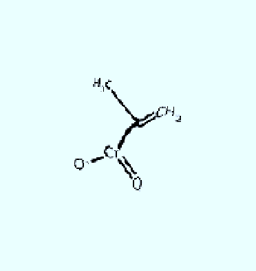 C=[C](C)[Cr](=[O])[O-]